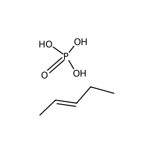 CC=CCC.O=P(O)(O)O